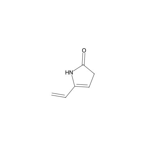 C=CC1=CCC(=O)N1